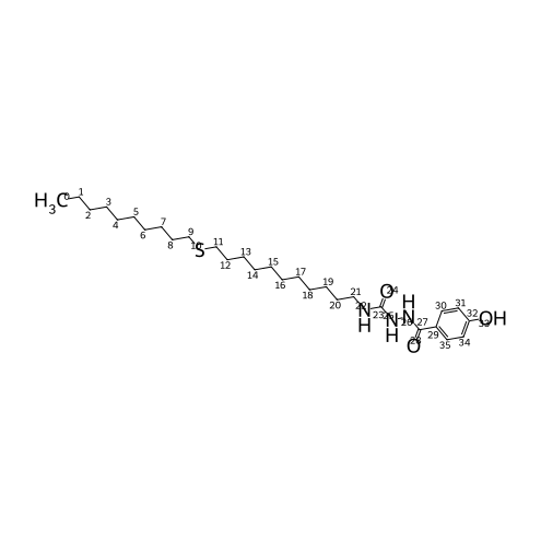 CCCCCCCCCCSCCCCCCCCCCCNC(=O)NNC(=O)c1ccc(O)cc1